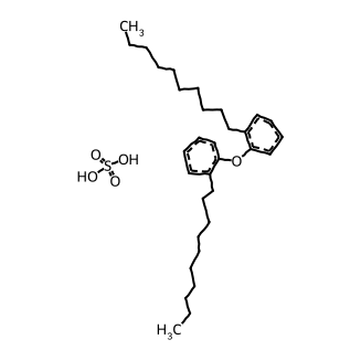 CCCCCCCCCCc1ccccc1Oc1ccccc1CCCCCCCCCC.O=S(=O)(O)O